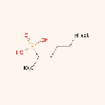 CCCCCCCCCCC(C(=O)O)P(=O)(O)O